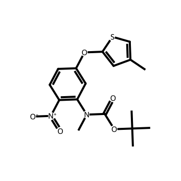 Cc1csc(Oc2ccc([N+](=O)[O-])c(N(C)C(=O)OC(C)(C)C)c2)c1